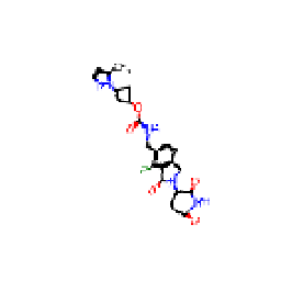 O=C1CC[C@@H](N2Cc3ccc(CNC(=O)OC4CC(n5nccc5C(F)(F)F)C4)c(F)c3C2=O)C(=O)N1